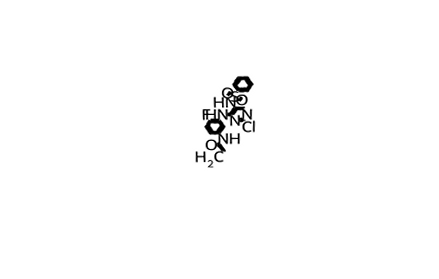 C=CC(=O)Nc1ccc(F)c(Nc2nc(Cl)ncc2NS(=O)(=O)c2ccccc2)c1